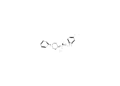 O=C(Nc1ccc(C(F)(F)F)cc1)NC1CCN(c2ccccc2)CC1